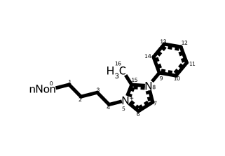 CCCCCCCCCCCCC[n+]1ccn(-c2ccccc2)c1C